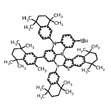 Cc1cc2c(cc1-c1cc3c4c(c1)N(c1ccc5c(c1)C(C)(C)CCC5(C)C)c1sc5cc6c(cc5c1B4c1cc(C(C)(C)C)ccc1N3c1ccc3c(c1)C(C)(C)CCC3(C)C)C(C)(C)CCC6(C)C)C(C)(C)CCC2(C)C